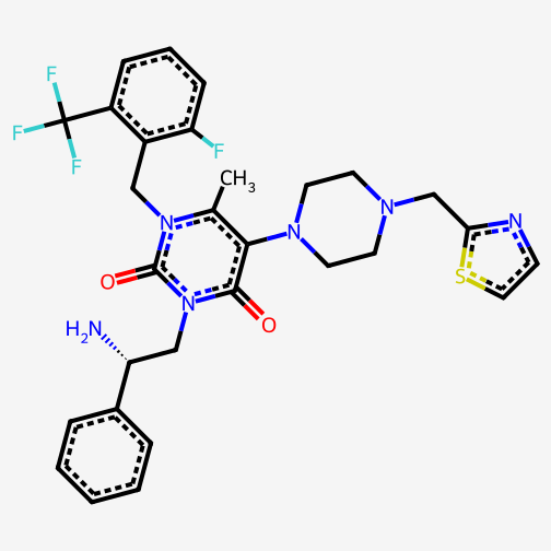 Cc1c(N2CCN(Cc3nccs3)CC2)c(=O)n(C[C@@H](N)c2ccccc2)c(=O)n1Cc1c(F)cccc1C(F)(F)F